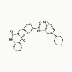 Nc1ccc(N2CCSCC2)cc1NC(=O)c1ccc(CN2C(=O)Nc3ccccc3S2(=O)=O)cc1